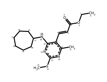 CCOC(=O)C=Cc1c(C)nc(SC)nc1NC1CCCCCC1